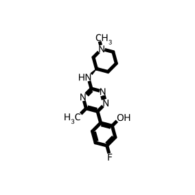 Cc1nc(N[C@@H]2CCCN(C)C2)nnc1-c1ccc(F)cc1O